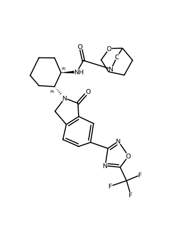 O=C(N[C@@H]1CCCC[C@H]1N1Cc2ccc(-c3noc(C(F)(F)F)n3)cc2C1=O)N1CC2CCC1CO2